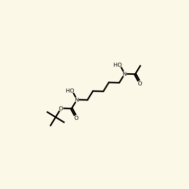 CC(=O)N(O)CCCCCN(O)C(=O)OC(C)(C)C